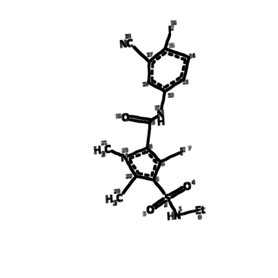 CCNS(=O)(=O)c1c(F)c(C(=O)Nc2ccc(F)c(C#N)c2)n(C)c1C